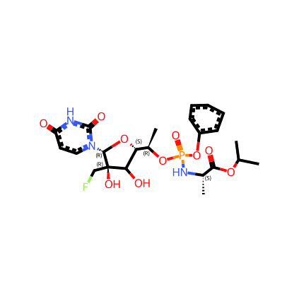 CC(C)OC(=O)[C@H](C)NP(=O)(Oc1ccccc1)O[C@H](C)[C@H]1O[C@@H](n2ccc(=O)[nH]c2=O)[C@@](O)(CF)C1O